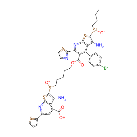 CCCC[S+]([O-])c1sc2nc(-c3nccs3)c(C(=O)OCCCCC[S+]([O-])c3sc4nc(-c5cccs5)cc(C(=O)O)c4c3N)c(-c3ccc(Br)cc3)c2c1N